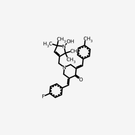 Cc1ccc(/C=C2\CN(CC3=CC(C)(C)N(O)C3(C)C)C/C(=C\c3ccc(F)cc3)C2=O)cc1